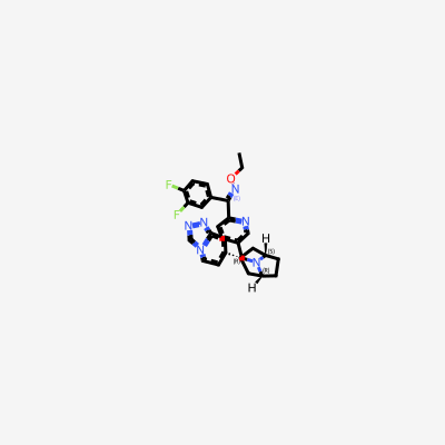 CCO/N=C(\c1ccc(F)c(F)c1)c1ccc(CN2[C@@H]3CC[C@H]2C[C@@H](c2ccn4cnnc4c2)C3)cn1